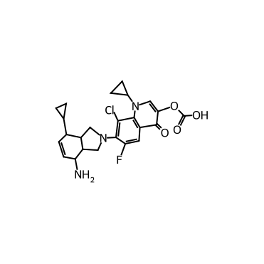 NC1C=CC(C2CC2)C2CN(c3c(F)cc4c(=O)c(OC(=O)O)cn(C5CC5)c4c3Cl)CC12